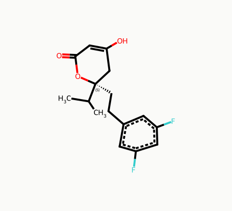 CC(C)[C@]1(CCc2cc(F)cc(F)c2)CC(O)=CC(=O)O1